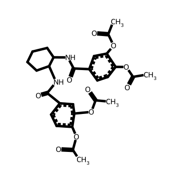 CC(=O)Oc1ccc(C(=O)NC2CCCCC2NC(=O)c2ccc(OC(C)=O)c(OC(C)=O)c2)cc1OC(C)=O